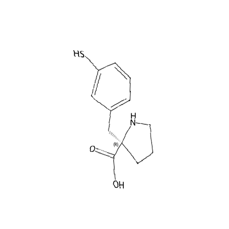 O=C(O)[C@]1(Cc2cccc(S)c2)CCCN1